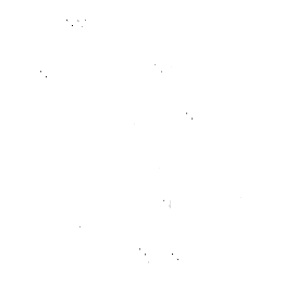 CNc1ncc(-c2cccc(-c3ncnn3C)c2)c2cc(NC(=O)C3CC3)ncc12